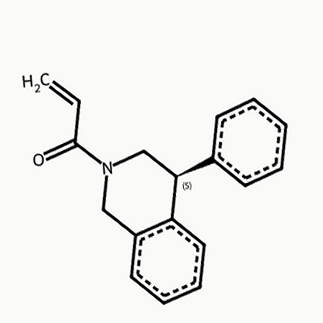 C=CC(=O)N1Cc2ccccc2[C@H](c2ccccc2)C1